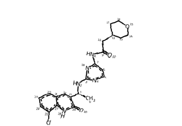 C[C@H](Nc1nccc(NC(=O)CC2CCOCC2)n1)c1cc2cccc(Cl)c2[nH]c1=O